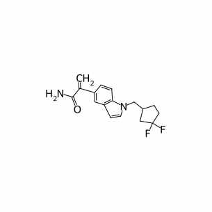 C=C(C(N)=O)c1ccc2c(ccn2CC2CCC(F)(F)C2)c1